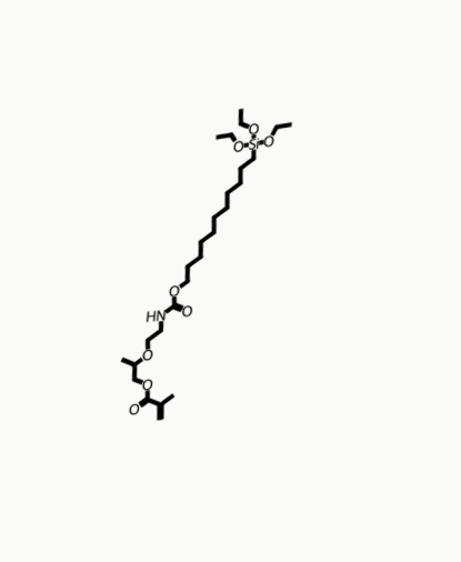 C=C(C)C(=O)OCC(C)OCCNC(=O)OCCCCCCCCCCC[Si](OCC)(OCC)OCC